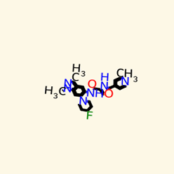 Cc1cc(C2NC(C(=O)Nc3cc4c(C)nn(C)c4cc3N3CCC(F)CC3)=CO2)ccn1